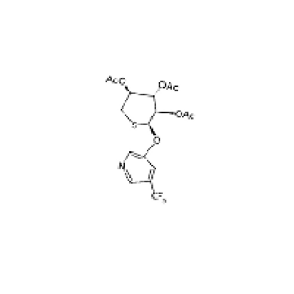 CC(=O)O[C@@H]1[C@@H](OC(C)=O)[C@@H](Oc2cncc(C(F)(F)F)c2)SC[C@H]1OC(C)=O